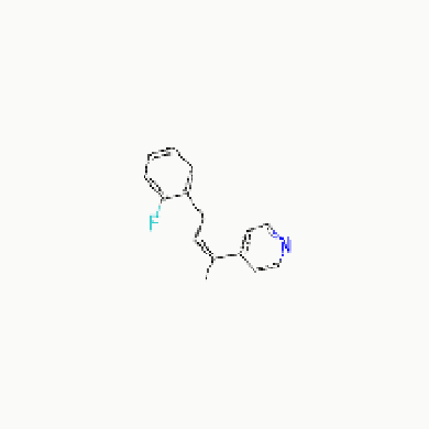 CC(=CCc1ccccc1F)c1ccncc1